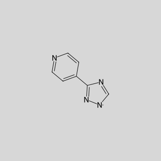 C1=NC(c2ccncc2)=N[N]1